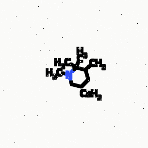 CC1CCCN(C)C1(C)C.[CaH2]